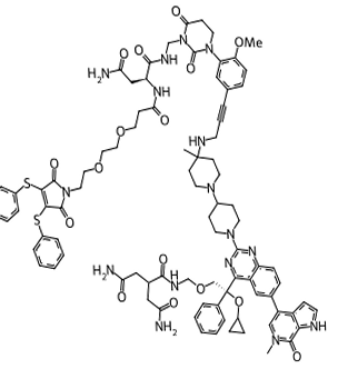 COc1ccc(C#CCNC2(C)CCN(C3CCN(c4nc([C@@](COCNC(=O)C(CC(N)=O)CC(N)=O)(OC5CC5)c5ccccc5)c5cc(-c6cn(C)c(=O)c7[nH]ccc67)ccc5n4)CC3)CC2)cc1N1CCC(=O)N(CNC(=O)[C@H](CC(N)=O)NC(=O)CCOCCOCCN2C(=O)C(Sc3ccccc3)=C(Sc3ccccc3)C2=O)C1=O